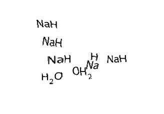 O.O.[NaH].[NaH].[NaH].[NaH].[NaH]